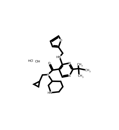 CC(C)(C)c1ncc(C(=O)N(CC2CC2)C2CCCNC2)c(NCc2ccco2)n1.Cl.Cl